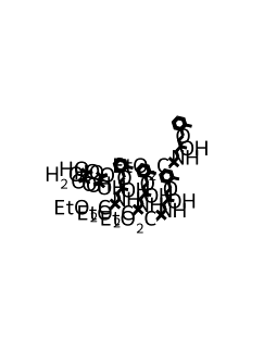 CCOC(=O)CC(C)(C)NCC(O)COc1ccccc1C.CCOC(=O)CC(C)(C)NCC(O)COc1ccccc1C.CCOC(=O)CC(C)(C)NCC(O)COc1ccccc1C.CCOC(=O)CC(C)(C)NCC(O)COc1ccccc1C.O.O=C(O)C(=O)O.O=C(O)C(=O)O